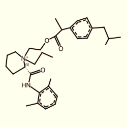 CCC[N+]1(CCOC(=O)C(C)c2ccc(CC(C)C)cc2)CCCC[C@H]1C(=O)Nc1c(C)cccc1C